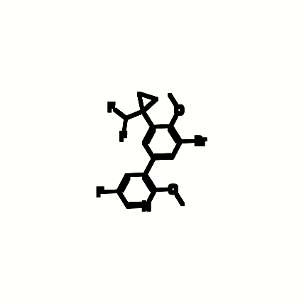 COc1ncc(F)cc1-c1cc(Br)c(OC)c(C2(C(F)F)CC2)c1